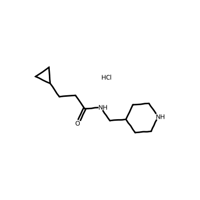 Cl.O=C(CCC1CC1)NCC1CCNCC1